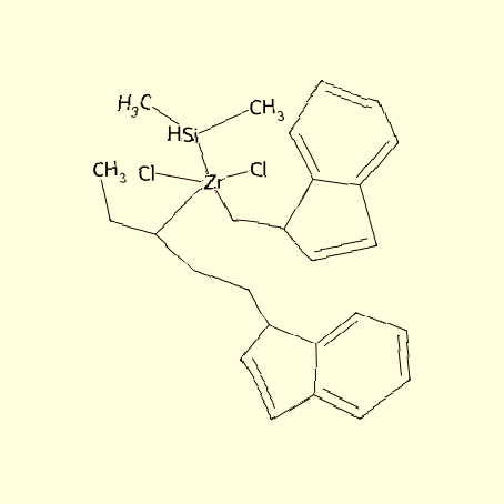 CC[CH](CCC1C=Cc2ccccc21)[Zr]([Cl])([Cl])([CH2]C1C=Cc2ccccc21)[SiH](C)C